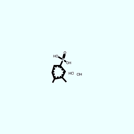 Cc1ccc(P(=O)(O)O)cc1C.Cl.Cl